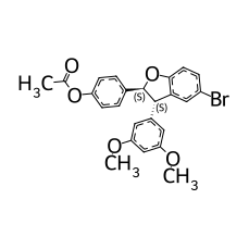 COc1cc(OC)cc([C@H]2c3cc(Br)ccc3O[C@@H]2c2ccc(OC(C)=O)cc2)c1